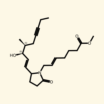 CCC#CC[C@H](C)[C@H](O)C=CC1CCC(=O)N1CC=CCCCC(=O)OC